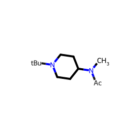 CC(=O)N(C)C1CCN(C(C)(C)C)CC1